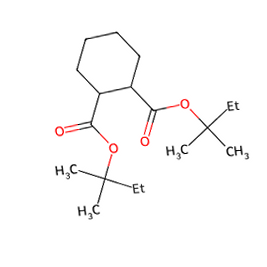 CCC(C)(C)OC(=O)C1CCCCC1C(=O)OC(C)(C)CC